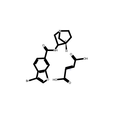 O=C(NC1CN2CC[C@H]1C2)c1ccc2c(Br)coc2c1.O=C(O)/C=C/C(=O)O